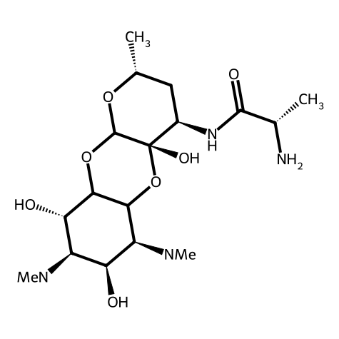 CN[C@@H]1[C@H](O)[C@H](NC)C2O[C@]3(O)C(OC2[C@H]1O)O[C@H](C)C[C@H]3NC(=O)[C@H](C)N